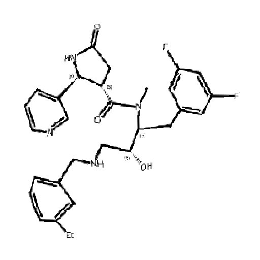 CCc1cccc(CNC[C@@H](O)[C@H](Cc2cc(F)cc(F)c2)N(C)C(=O)[C@H]2CC(=O)N[C@@H]2c2cccnc2)c1